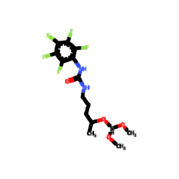 CO[SiH](OC)OC(C)CCCNC(=O)Nc1c(F)c(F)c(F)c(F)c1F